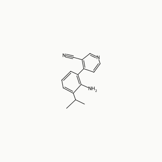 CC(C)c1cccc(-c2ccncc2C#N)c1N